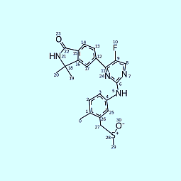 Cc1ccc(Nc2ncc(F)c(-c3ccc4c(c3)C(C)(C)NC4=O)n2)cc1C[S+](C)[O-]